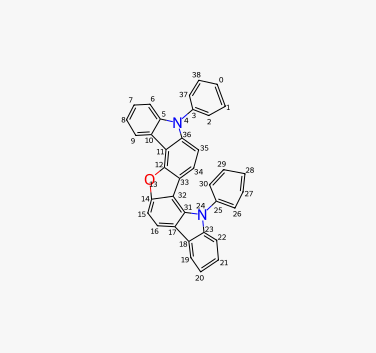 c1ccc(-n2c3ccccc3c3c4oc5ccc6c7ccccc7n(-c7ccccc7)c6c5c4ccc32)cc1